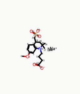 COc1ccc2c(c1)N(CCCC(=O)[O-])C(C)(C)CC2CS(=O)(=O)[O-].[Na+].[Na+]